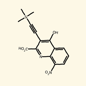 C[Si](C)(C)C#Cc1c(C(=O)O)nc2c([N+](=O)[O-])cccc2c1O